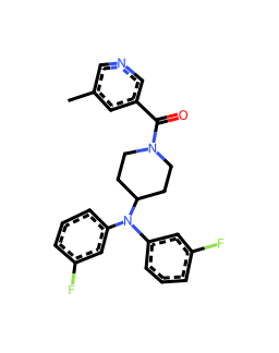 Cc1cncc(C(=O)N2CCC(N(c3cccc(F)c3)c3cccc(F)c3)CC2)c1